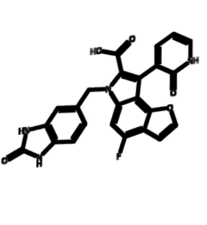 O=C(O)c1c(-c2ccc[nH]c2=O)c2c3occc3c(F)cc2n1Cc1ccc2[nH]c(=O)[nH]c2c1